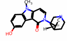 Cn1c2ccc(O)cc2c2c(=O)n([C@@H]3CN4CCC3CC4)ccc21